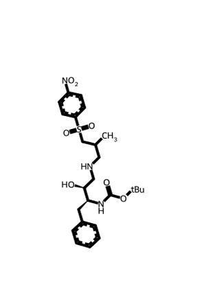 CC(CNC[C@H](O)[C@H](Cc1ccccc1)NC(=O)OC(C)(C)C)CS(=O)(=O)c1ccc([N+](=O)[O-])cc1